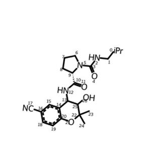 CC(C)CNC(=O)N1CCC[C@H]1C(=O)NC1c2cc(C#N)ccc2OC(C)(C)C1O